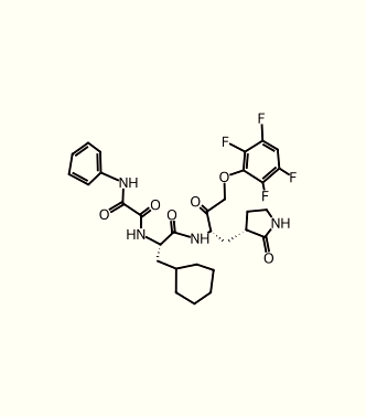 O=C(Nc1ccccc1)C(=O)N[C@@H](CC1CCCCC1)C(=O)N[C@@H](C[C@@H]1CCNC1=O)C(=O)COc1c(F)c(F)cc(F)c1F